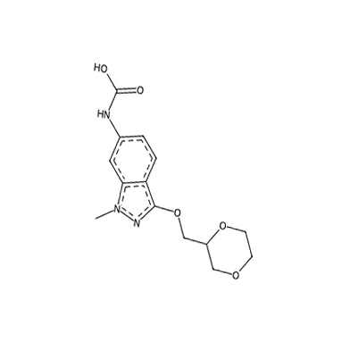 Cn1nc(OCC2COCCO2)c2ccc(NC(=O)O)cc21